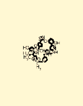 Cc1ncsc1-c1ccc([C@H](C)NC(=O)[C@@H]2C[C@@H](O)CN2C(=O)[C@@H](c2cc(O[C@@H](C)CN3CCC[C@H](CN4CCN5c6cc(-c7ccccc7O)nnc6NC[C@@H]5C4)C3)no2)C(C)C)cc1